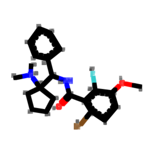 COc1ccc(Br)c(C(=O)NC(c2ccccc2)C2(N(C)C)CCCC2)c1F